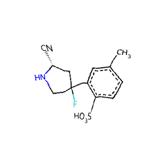 Cc1ccc(S(=O)(=O)O)c(C2(F)CN[C@H](C#N)C2)c1